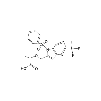 CC(OCc1cc2nc(C(F)(F)F)ccc2n1S(=O)(=O)c1ccccc1)C(=O)O